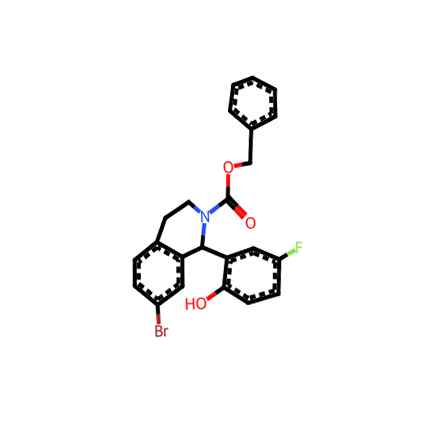 O=C(OCc1ccccc1)N1CCc2ccc(Br)cc2C1c1cc(F)ccc1O